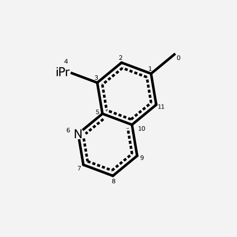 Cc1cc(C(C)C)c2ncccc2c1